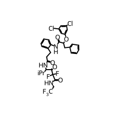 CC(C)C(NC(=O)CCc1ccccc1NC(=O)C(Cc1ccccc1)Oc1cc(Cl)cc(Cl)c1)C(=O)C(F)(F)C(=O)NCC(F)(F)F